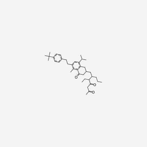 CCCC(CC1CC(=O)c2c(C)c(CCc3ccc(C(C)(C)C)cc3)cc(C(C)C)c2C1)C(CC)C(=O)CC(C)=O